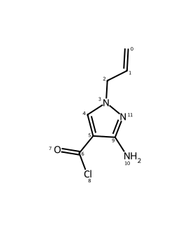 C=CCn1cc(C(=O)Cl)c(N)n1